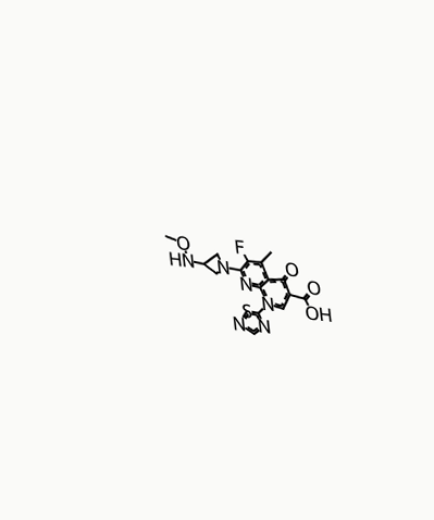 CONC1CN(c2nc3c(c(C)c2F)c(=O)c(C(=O)O)cn3-c2ncns2)C1